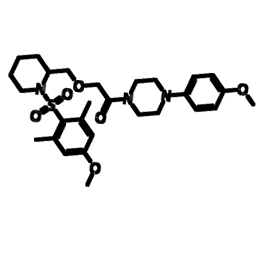 COc1ccc(N2CCN(C(=O)COCC3CCCCN3S(=O)(=O)c3c(C)cc(OC)cc3C)CC2)cc1